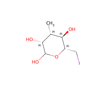 C[C@@H]1[C@@H](O)[C@H](CI)OC(O)[C@@H]1O